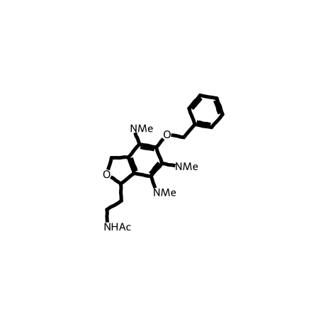 CNc1c2c(c(NC)c(NC)c1OCc1ccccc1)C(CCNC(C)=O)OC2